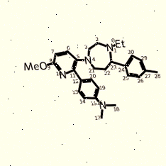 CCN1CCN(c2ccc(OC)nc2-c2ccc(N(C)C)cc2)CCC1c1ccc(C)cc1